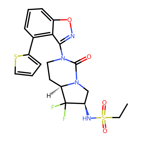 CCS(=O)(=O)N[C@@H]1CN2C(=O)N(c3noc4cccc(-c5cccs5)c34)CC[C@@H]2C1(F)F